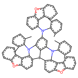 Cc1cccc(C)c1N(c1cc2c3c(c1)N(c1c(C)cccc1C)c1c(ccc4oc5ccccc5c14)B3c1ccc3oc4ccccc4c3c1N2c1c(C)cccc1C)c1cccc2oc3ccccc3c12